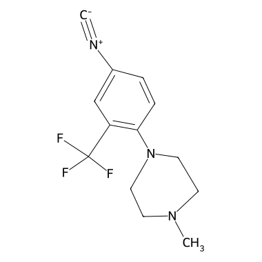 [C-]#[N+]c1ccc(N2CCN(C)CC2)c(C(F)(F)F)c1